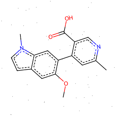 COc1cc2ccn(C)c2cc1-c1cc(C)ncc1C(=O)O